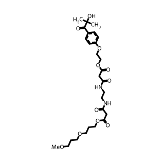 COCCCOCCCOC(=O)CC(=O)NCCNC(=O)CC(=O)OCCOc1ccc(C(=O)C(C)(C)O)cc1